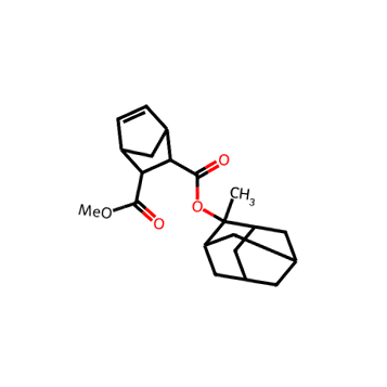 COC(=O)C1C2C=CC(C2)C1C(=O)OC1(C)C2CC3CC(C2)CC1C3